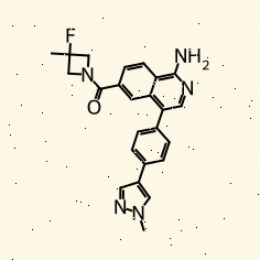 Cn1cc(-c2ccc(-c3cnc(N)c4ccc(C(=O)N5CC(C)(F)C5)cc34)cc2)cn1